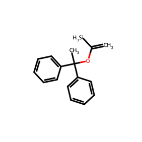 C=C([SiH3])OC(C)(c1ccccc1)c1ccccc1